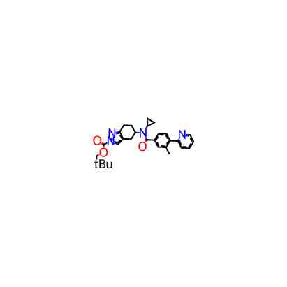 Cc1cc(C(=O)N(C2CC2)C2CCc3nn(C(=O)OCC(C)(C)C)cc3C2)ccc1-c1ccccn1